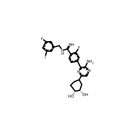 N=C(NCc1cc(F)cc(I)c1)c1ccc(-c2nc(C3CC[C@@H](O)[C@@H](O)C3)cnc2N)cc1F